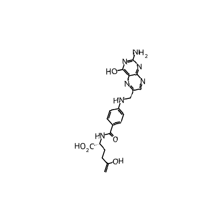 C=C(O)CC[C@@H](NC(=O)c1ccc(NCc2cnc3nc(N)nc(O)c3n2)cc1)C(=O)O